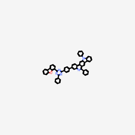 c1ccc(-c2nc(-c3ccc(-c4ccc5c(c4)nc(-c4ccccc4)c4cc6c7ccccc7n(-c7ccccc7)c6cc45)cc3)nc(-c3cccc4c3oc3ccccc34)n2)cc1